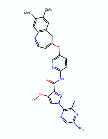 CCOc1cn(-c2ncc(N)nc2C)nc1C(=O)Nc1ccc(OC2=CC=Nc3cc(OC)c(OC)cc3C2)cn1